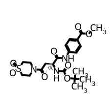 COC(=O)c1ccc(NC(=O)[C@H](CC(=O)N2CCS(=O)(=O)CC2)NC(=O)OC(C)(C)C)cc1